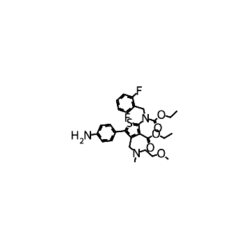 CCOC(=O)c1c(N(Cc2c(F)cccc2F)C(=O)OCC)sc(-c2ccc(N)cc2)c1CN(C)CCOC